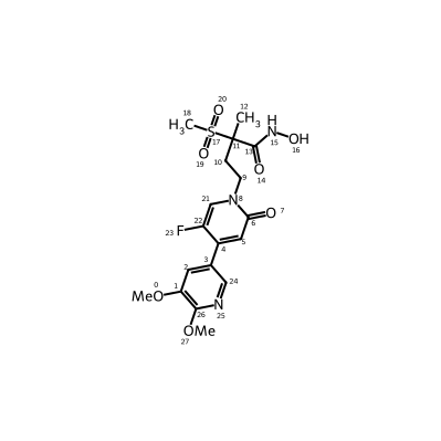 COc1cc(-c2cc(=O)n(CCC(C)(C(=O)NO)S(C)(=O)=O)cc2F)cnc1OC